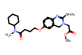 CC(=O)NC1=Nc2ccc(OCCCC(=O)N(C)C3CCCCC3)cc2CN1CC(=O)OC(C)(C)C